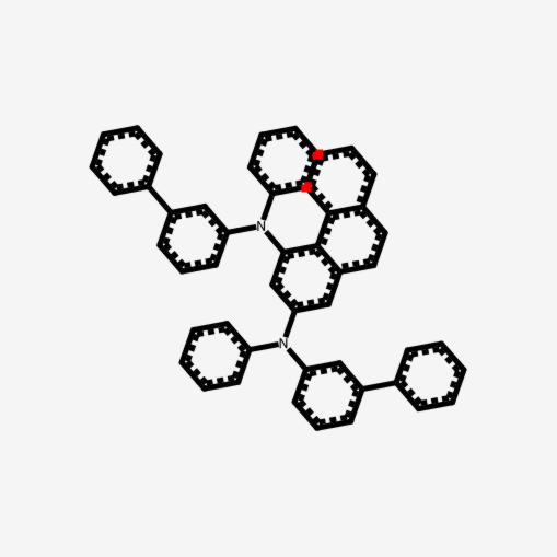 c1ccc(-c2cccc(N(c3ccccc3)c3cc(N(c4ccccc4)c4cccc(-c5ccccc5)c4)c4c(ccc5ccccc54)c3)c2)cc1